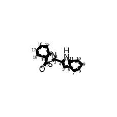 O=c1sc(-c2cc3ccccc3[nH]2)nc2ccccc12